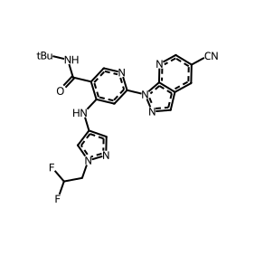 CC(C)(C)NC(=O)c1cnc(-n2ncc3cc(C#N)cnc32)cc1Nc1cnn(CC(F)F)c1